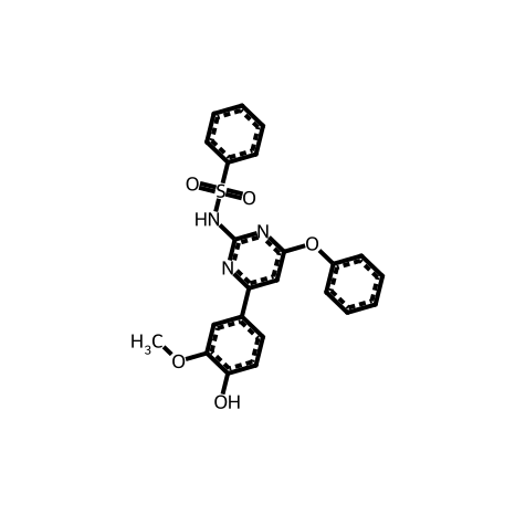 COc1cc(-c2cc(Oc3ccccc3)nc(NS(=O)(=O)c3ccccc3)n2)ccc1O